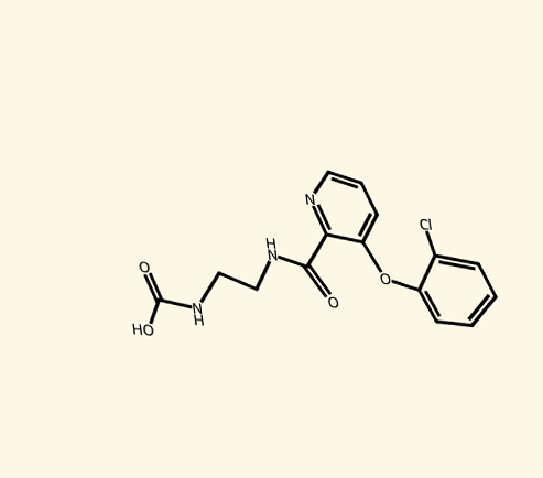 O=C(O)NCCNC(=O)c1ncccc1Oc1ccccc1Cl